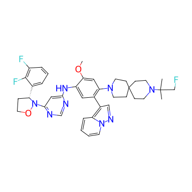 COc1cc(N2CCC3(CC2)CCN(C(C)(C)CF)CC3)c(-c2cnn3ccccc23)cc1Nc1cc(N2OCC[C@@H]2c2cccc(F)c2F)ncn1